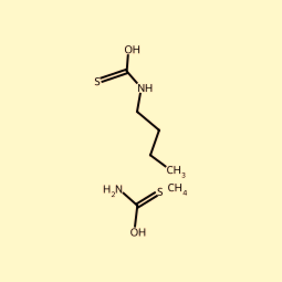 C.CCCCNC(O)=S.NC(O)=S